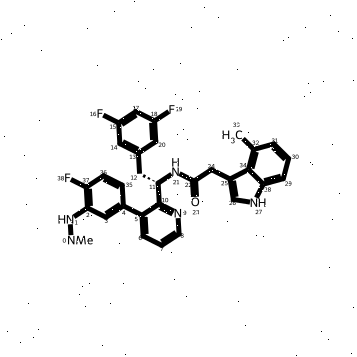 CNNc1cc(-c2cccnc2[C@H](Cc2cc(F)cc(F)c2)NC(=O)Cc2c[nH]c3cccc(C)c23)ccc1F